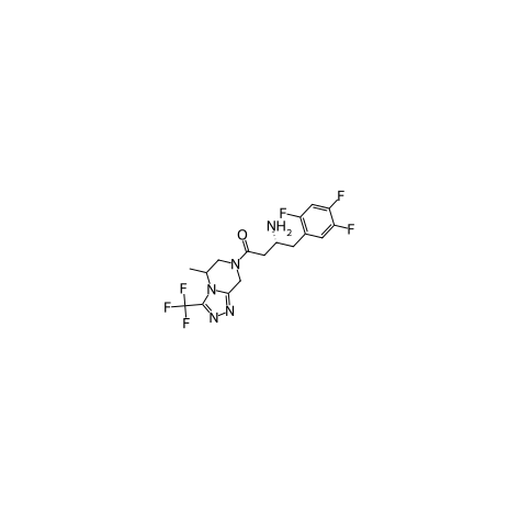 CC1CN(C(=O)C[C@H](N)Cc2cc(F)c(F)cc2F)Cc2nnc(C(F)(F)F)n21